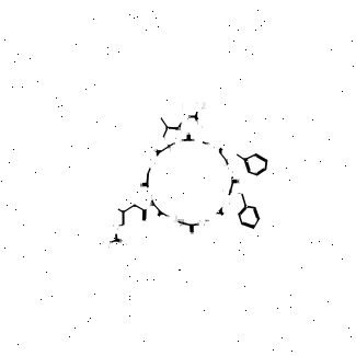 C=C(CC(C)CNC(=N)N)[C@H]1NC(=O)CNC(=O)[C@@H](CC(C)CNC(=N)N)NC(=O)CNC(=O)[C@H](Cc2ccccc2)NC(=O)[C@@H](Cc2ccccc2)NC(=O)CNC(=O)[C@H](C)NC1=O